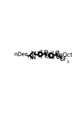 CCCCCCCCCCCc1cnc(-c2ccc(C(=O)Oc3ccc(C(=O)O[C@H](CCCCCCCC)C(F)(F)F)cc3)cc2)nc1